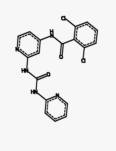 O=C(Nc1ccccn1)Nc1cc(NC(=O)c2c(Cl)cccc2Cl)ccn1